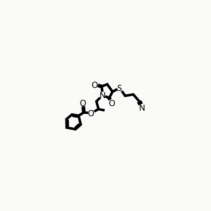 CC(CN1C(=O)CC(SCCC#N)C1=O)OC(=O)c1ccccc1